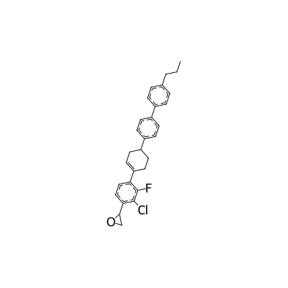 CCCc1ccc(-c2ccc(C3CC=C(c4ccc(C5CO5)c(Cl)c4F)CC3)cc2)cc1